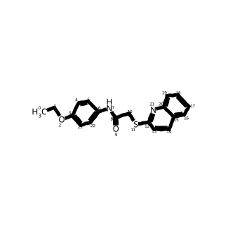 CCOc1ccc(NC(=O)CSc2ccc3ccccc3n2)cc1